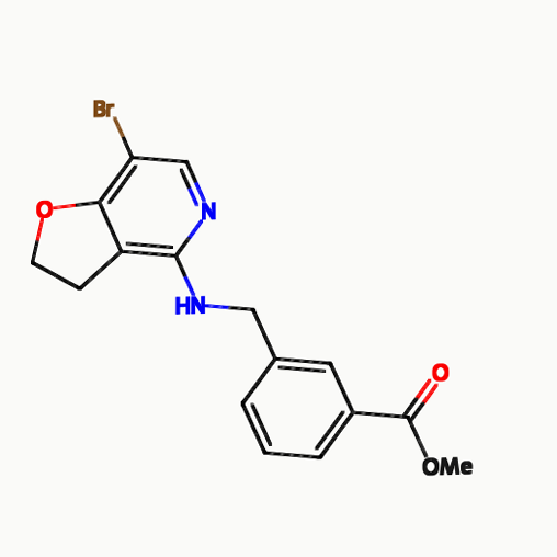 COC(=O)c1cccc(CNc2ncc(Br)c3c2CCO3)c1